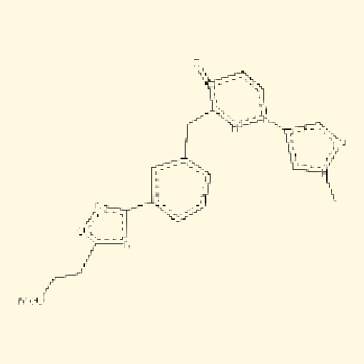 COCCc1nc(-c2cccc(Cc3nn(-c4cnn(C)c4)ccc3=O)c2)no1